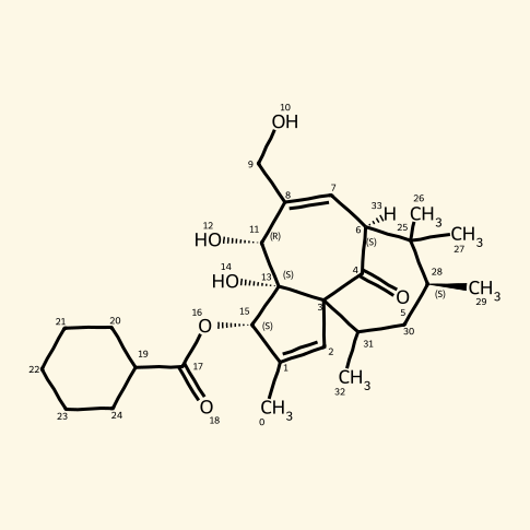 CC1=CC23C(=O)[C@@H](C=C(CO)[C@@H](O)[C@]2(O)[C@H]1OC(=O)C1CCCCC1)C(C)(C)[C@@H](C)CC3C